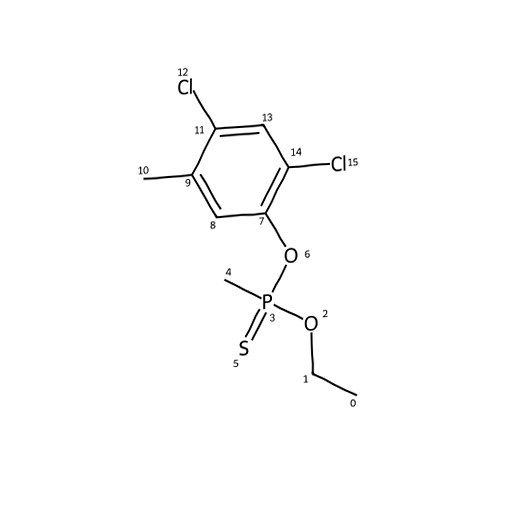 CCOP(C)(=S)Oc1cc(C)c(Cl)cc1Cl